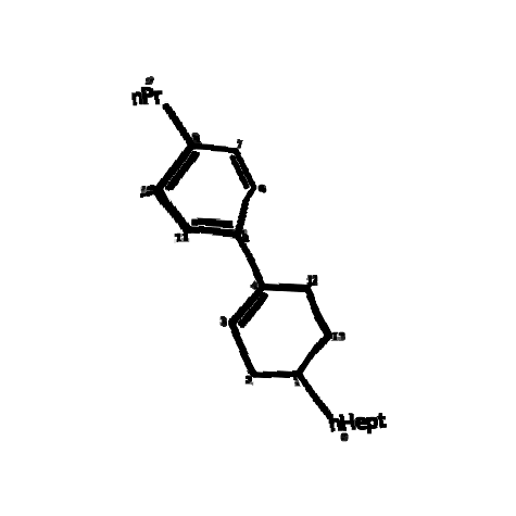 CCCCCCCC1CC=C(c2ccc(CCC)cc2)CC1